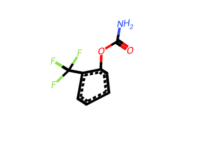 NC(=O)Oc1ccccc1C(F)(F)F